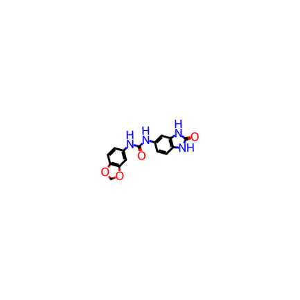 O=C(Nc1ccc2c(c1)OCO2)Nc1ccc2[nH]c(=O)[nH]c2c1